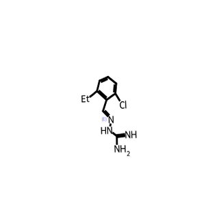 CCc1cccc(Cl)c1/C=N/NC(=N)N